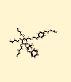 CCCCOC1[C@@H](OCCCC)C(COCCc2ccc(CCN=[N+]=[N-])cc2)O[C@@H](O/C(=N/c2ccccc2)C(F)(F)F)[C@H]1OCCCC